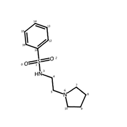 O=S(=O)(NCCN1CCCC1)c1ccccc1